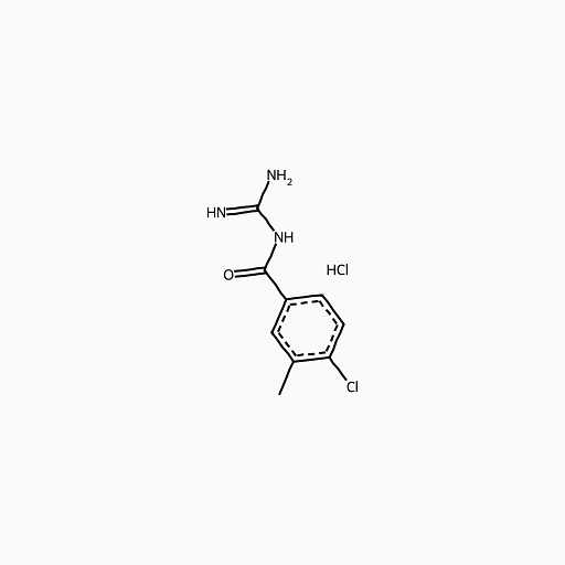 Cc1cc(C(=O)NC(=N)N)ccc1Cl.Cl